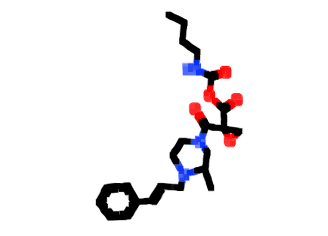 CCCCNC(=O)OC(=O)C1(C(=O)N2CCN(CC=Cc3ccccc3)C(C)C2)CO1